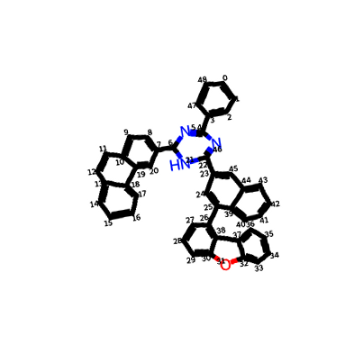 c1ccc(C2=NC(c3ccc4ccc5ccccc5c4c3)NC(c3cc(-c4cccc5oc6ccccc6c45)c4ccccc4c3)=N2)cc1